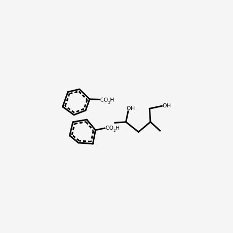 CC(O)CC(C)CO.O=C(O)c1ccccc1.O=C(O)c1ccccc1